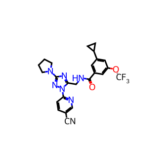 N#Cc1ccc(-n2nc(N3CCCC3)nc2CNC(=O)c2cc(OC(F)(F)F)cc(C3CC3)c2)nc1